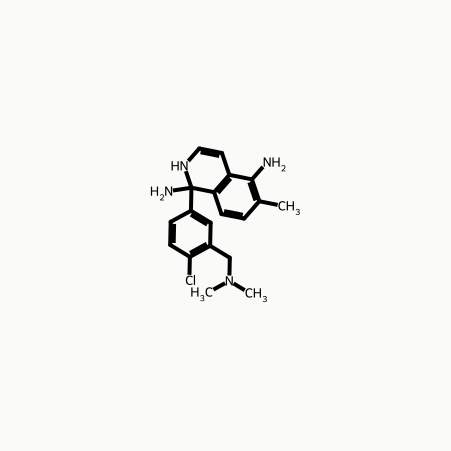 Cc1ccc2c(c1N)C=CNC2(N)c1ccc(Cl)c(CN(C)C)c1